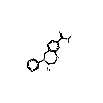 CC(C)[C@H]1COc2cc(C(=O)NO)ccc2CN1c1cccnc1